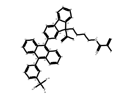 C=C(C)C(=O)OCCCCC1(C(=C)C)c2ccccc2-c2ccc(-c3c4ccccc4c(-c4cccc(C(F)(F)F)c4)c4ccccc34)cc21